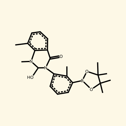 Cc1cccc2c1N(C)C(O)N(c1cccc(B3OC(C)(C)C(C)(C)O3)c1C)C2=O